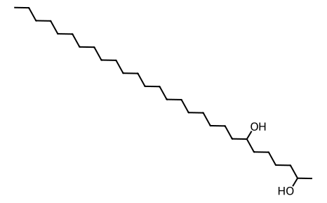 CCCCCCCCCCCCCCCCCCCCCC(O)CCCCC(C)O